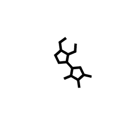 CCC1CCC([C]2CC(C)C(C)C2C)C1CC